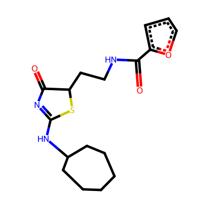 O=C(NCCC1SC(NC2CCCCCC2)=NC1=O)c1ccco1